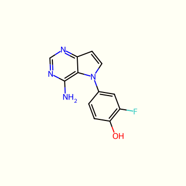 Nc1ncnc2ccn(-c3ccc(O)c(F)c3)c12